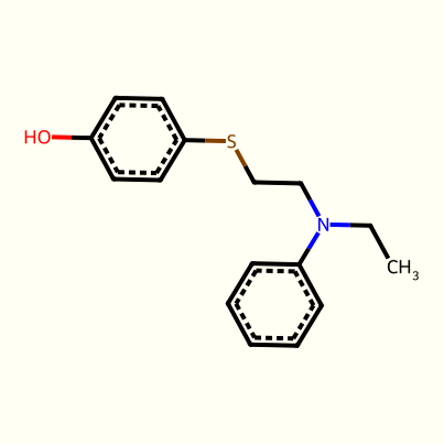 CCN(CCSc1ccc(O)cc1)c1ccccc1